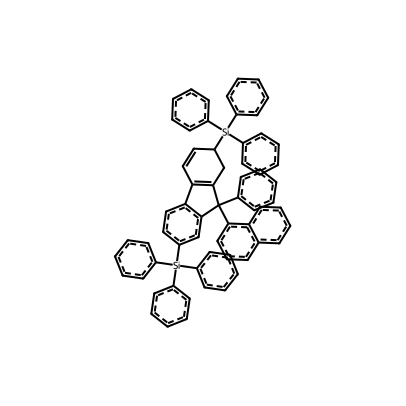 C1=CC([Si](c2ccccc2)(c2ccccc2)c2ccccc2)CC2=C1c1ccc([Si](c3ccccc3)(c3ccccc3)c3ccccc3)cc1C2(c1ccccc1)c1cccc2ccccc12